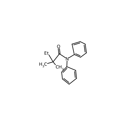 CCC(C)(C)C(=O)N(c1ccccc1)c1ccccc1